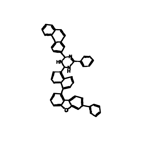 c1ccc(C2=NC(c3ccc4c(ccc5ccccc54)c3)NC(c3cccc4c(-c5cccc6oc7cc(-c8ccccc8)ccc7c56)cccc34)N2)cc1